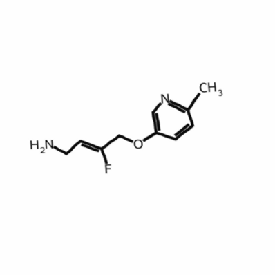 Cc1ccc(OCC(F)=CCN)cn1